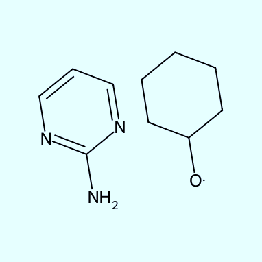 Nc1ncccn1.[O]C1CCCCC1